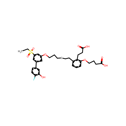 CCS(=O)(=O)c1cc(OCCCCCCc2cccc(OCCCC(=O)O)c2CCC(=O)O)cc(-c2ccc(F)c(O)c2)c1